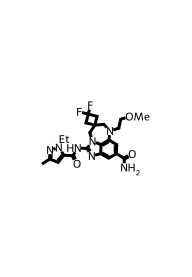 CCn1nc(C)cc1C(=O)Nc1nc2cc(C(N)=O)cc3c2n1CC1(CN3CCOC)CC(F)(F)C1